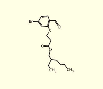 CCCCC(CC)COC(=O)CCSc1cc(Br)ccc1C=O